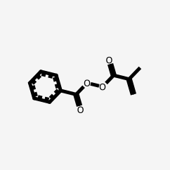 C=C(C)C(=O)OOC(=O)c1ccccc1